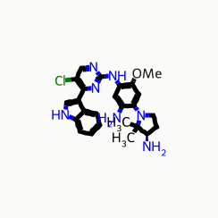 COc1cc(N2CC[C@@H](N)C2(C)C)c(N)cc1Nc1ncc(Cl)c(-c2c[nH]c3ccccc23)n1